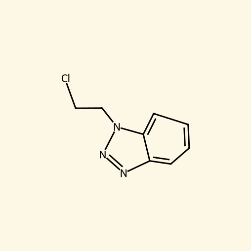 ClCCn1nnc2ccccc21